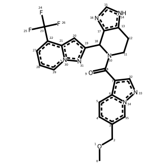 COCc1ccc2c(C(=O)N3CCc4[nH]cnc4C3c3cc4c(C(F)(F)F)cccn4n3)cnn2c1